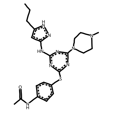 CCCc1cc(Nc2nc(Sc3ccc(NC(C)=O)cc3)nc(N3CCN(C)CC3)n2)n[nH]1